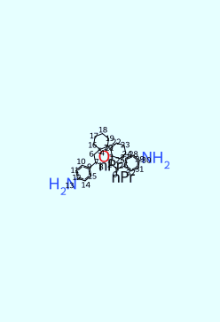 CCCC(CC1(OC2(CC(CCC)c3ccc(N)cc3)CCCCC2)CCCCC1)c1ccc(N)cc1